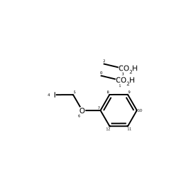 CC(=O)O.CC(=O)O.ICOc1ccccc1